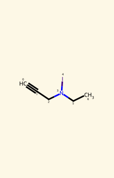 C#CCN(I)CC